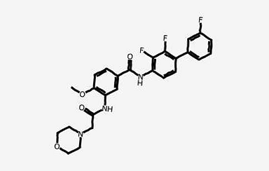 COc1ccc(C(=O)Nc2ccc(-c3cccc(F)c3)c(F)c2F)cc1NC(=O)CN1CCOCC1